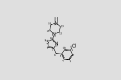 Clc1cccc(Cc2csc(N3CCNCC3)n2)c1